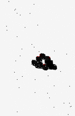 c1ccc(-c2nc(-c3ccccc3)nc(-c3cccc(-c4cccc(-c5cccc(-c6csc7ccc8ccccc8c67)c5)c4)c3)n2)cc1